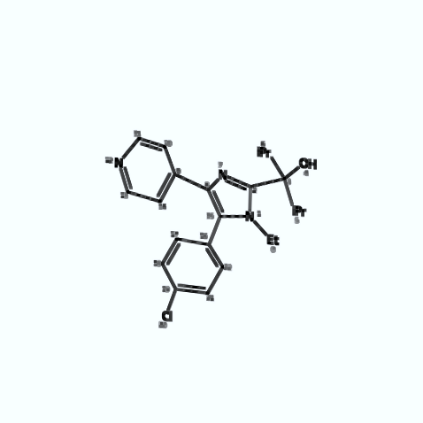 CCn1c(C(O)(C(C)C)C(C)C)nc(-c2ccncc2)c1-c1ccc(Cl)cc1